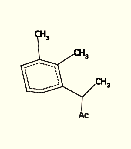 CC(=O)C(C)c1cccc(C)c1C